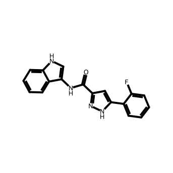 O=C(Nc1c[nH]c2ccccc12)c1cc(-c2ccccc2F)[nH]n1